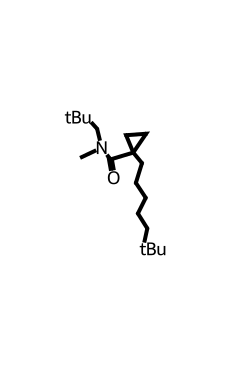 CN(CC(C)(C)C)C(=O)C1(CCCCCC(C)(C)C)CC1